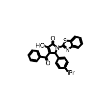 CC(C)c1ccc(C2C(C(=O)c3ccccc3)=C(O)C(=O)N2c2nc3ccccc3s2)cc1